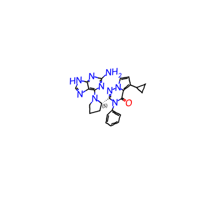 Nc1nc(N2CCC[C@H]2c2nn3ccc(C4CC4)c3c(=O)n2-c2ccccc2)c2nc[nH]c2n1